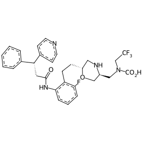 O=C(C[C@H](c1ccccc1)c1ccncc1)Nc1cccc(F)c1CC[C@@H]1CN[C@@H](CN(CC(F)(F)F)C(=O)O)CO1